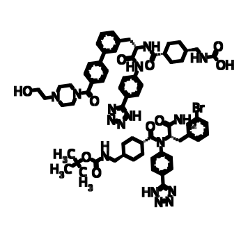 CC(C)(C)OC(=O)NC[C@H]1CC[C@H](C(=O)N(c2ccc(-c3nnn[nH]3)cc2)[C@@H](Cc2cccc(Br)c2)C(N)=O)CC1.O=C(O)NC[C@H]1CC[C@H](C(=O)N[C@@H](Cc2cccc(-c3ccc(C(=O)N4CCN(CCO)CC4)cc3)c2)C(=O)Nc2ccc(-c3nnn[nH]3)cc2)CC1